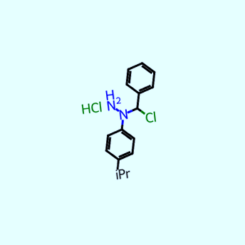 CC(C)c1ccc(N(N)C(Cl)c2ccccc2)cc1.Cl